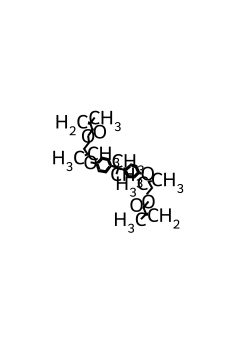 C=C(C)C(=O)OCCC(C)(C)Oc1ccc(C(C)(C)c2ccc(OC(C)(C)CCOC(=O)C(=C)C)cc2)cc1